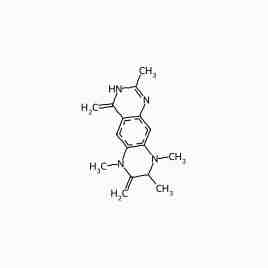 C=C1NC(C)=Nc2cc3c(cc21)N(C)C(=C)C(C)N3C